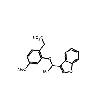 COc1ccc(CC(=O)O)c(OC(c2coc3ccccc23)C(C)(C)C)c1